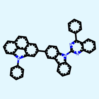 c1ccc(-c2nc(-n3c4ccccc4c4cc(-c5cc6ccc7cccc8c7c6c(c5)n8-c5ccccc5)ccc43)nc3ccccc23)cc1